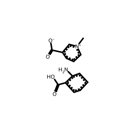 C[n+]1cccc(C(=O)[O-])c1.Nc1ccccc1C(=O)O